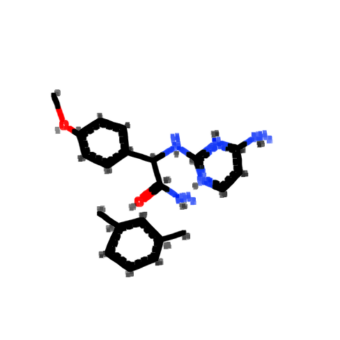 COc1ccc(C(Nc2nccc(N)n2)C(N)=O)cc1.Cc1cccc(C)c1